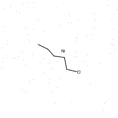 CCCCCCl.[Ni]